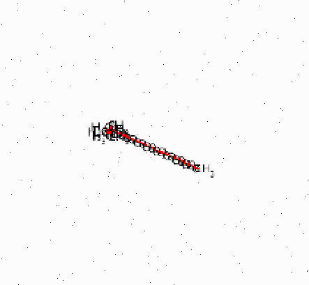 COCCOCCOCCOCCOCCOCCOCCOCCOCCOCCOCCOCCOCCOCCOCCOCCOCCOc1c(C(C)(C)C)cc(C)cc1C(C)(C)C